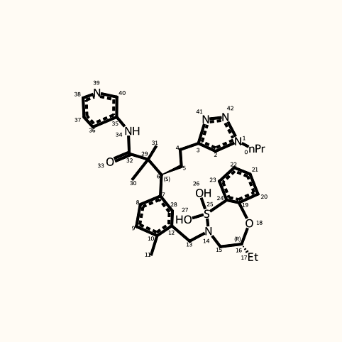 CCCn1cc(CC[C@@H](c2ccc(C)c(CN3C[C@@H](CC)Oc4ccccc4S3(O)O)c2)C(C)(C)C(=O)Nc2cccnc2)nn1